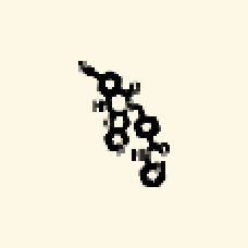 N#Cc1ccc2c(c1)NC(=O)C(Cc1cccnc1)N(Cc1ccc(C(=O)Nc3ccccn3)cc1)C2=O